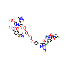 Cc1cc(C(CCOCCOCCOCCOc2ccc(-c3cnc4[nH]cc(C(=O)c5c(F)ccc(NS(=O)(=O)N6CC[C@@H](F)C6)c5F)c4c3)cc2)C(=O)N2C[C@H](O)C[C@H]2C(=O)NC(C)c2ccc(-c3scnc3C)cc2)on1